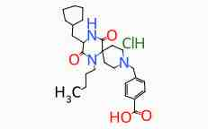 CCCCN1C(=O)C(CC2CCCCC2)NC(=O)C12CCN(Cc1ccc(C(=O)O)cc1)CC2.Cl